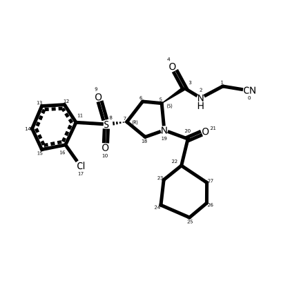 N#CCNC(=O)[C@@H]1C[C@@H](S(=O)(=O)c2ccccc2Cl)CN1C(=O)C1CCCCC1